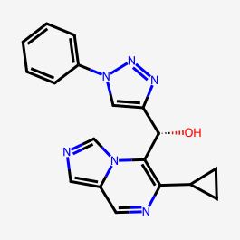 O[C@@H](c1cn(-c2ccccc2)nn1)c1c(C2CC2)ncc2cncn12